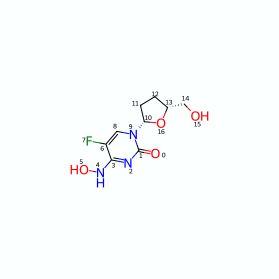 O=c1nc(NO)c(F)cn1[C@@H]1CC[C@H](CO)O1